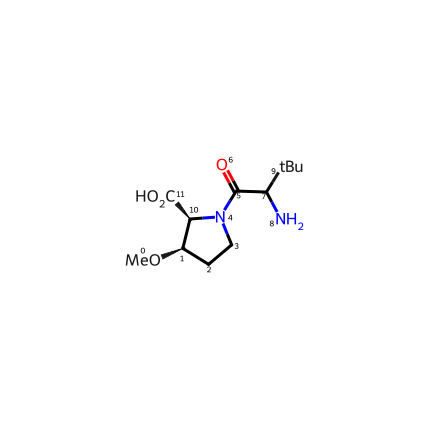 CO[C@@H]1CCN(C(=O)C(N)C(C)(C)C)[C@@H]1C(=O)O